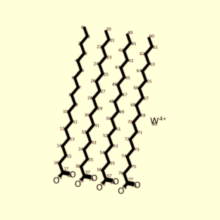 CCCCCCCCCCCCCCCCCC(=O)[O-].CCCCCCCCCCCCCCCCCC(=O)[O-].CCCCCCCCCCCCCCCCCC(=O)[O-].CCCCCCCCCCCCCCCCCC(=O)[O-].[W+4]